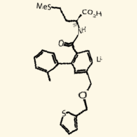 CSCC[C@H](NC(=O)c1ccc(COCc2cccs2)cc1-c1ccccc1C)C(=O)O.[Li]